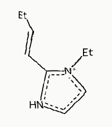 CCC=Cc1[nH]cc[n+]1CC